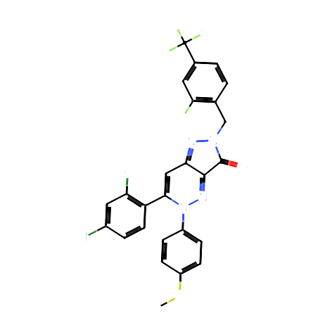 CSc1ccc(-n2nc3c(=O)n(Cc4ccc(C(F)(F)F)cc4F)nc-3cc2-c2ccc(Cl)cc2Cl)cc1